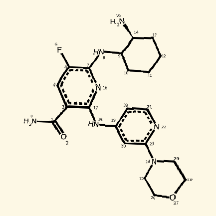 NC(=O)c1cc(F)c(NC2CCCC[C@@H]2N)nc1Nc1ccnc(N2CCOCC2)c1